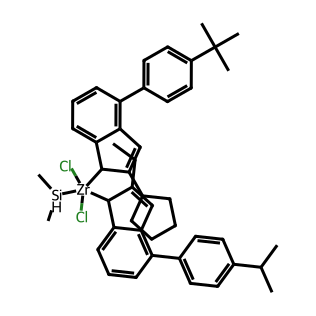 CCC1=Cc2c(-c3ccc(C(C)C)cc3)cccc2[CH]1[Zr]([Cl])([Cl])([CH]1C(C2CCCC2)=Cc2c(-c3ccc(C(C)(C)C)cc3)cccc21)[SiH](C)C